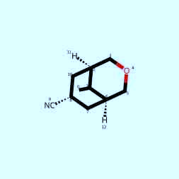 CC1[C@@H]2COC[C@H]1C[C@H](C#N)C2